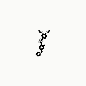 CCOc1ccc(-c2nc(-c3ccc(CN4CCCC4)cc3C)no2)cc1OCC